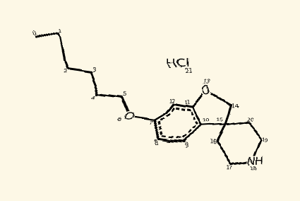 CCCCCCOc1ccc2c(c1)OCC21CCNCC1.Cl